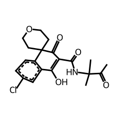 CC(=O)C(C)(C)NC(=O)C1=C(O)c2cc(Cl)ccc2C2(CCOCC2)C1=O